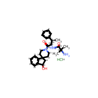 C[C@H](c1ccccc1)[C@H](NC(=O)C(C)(C)N)C(=O)N1CCC2(CC1)CC(O)c1ccccc12.Cl